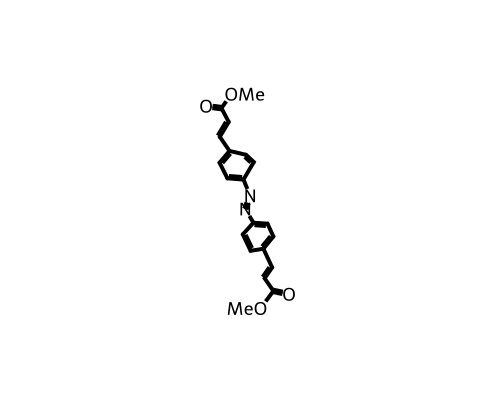 COC(=O)C=Cc1ccc(N=Nc2ccc(C=CC(=O)OC)cc2)cc1